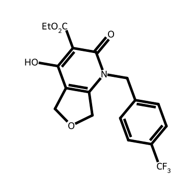 CCOC(=O)c1c(O)c2c(n(Cc3ccc(C(F)(F)F)cc3)c1=O)COC2